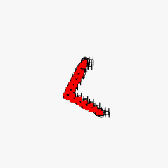 O=S(=O)(O)O.O=S(=O)(O)O.O=S(=O)(O)O.O=S(=O)(O)O.Oc1cccc2cccnc12.Oc1cccc2cccnc12.Oc1cccc2cccnc12.Oc1cccc2cccnc12.Oc1cccc2cccnc12.Oc1cccc2cccnc12.Oc1cccc2cccnc12.Oc1cccc2cccnc12.Oc1cccc2cccnc12.Oc1cccc2cccnc12